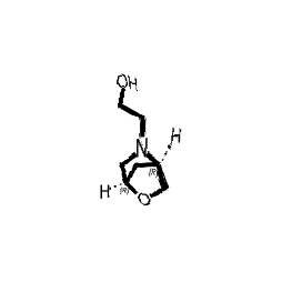 OCCN1C[C@H]2C[C@@H]1CO2